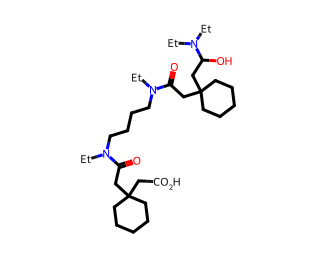 CCN(CCCCN(CC)C(=O)CC1(CC(O)N(CC)CC)CCCCC1)C(=O)CC1(CC(=O)O)CCCCC1